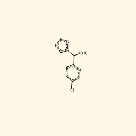 O=CC(c1ccc(Cl)cn1)n1cncn1